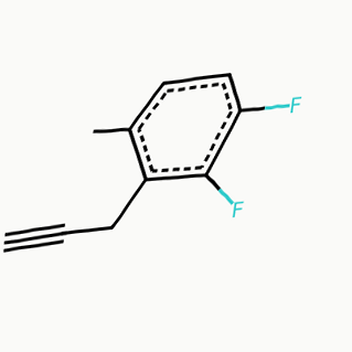 C#CCc1c(C)ccc(F)c1F